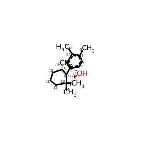 Cc1ccc([C@]2(CO)[C@@H](C)CCCC2(C)C)cc1C